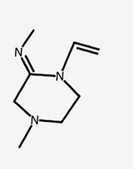 C=CN1CCN(C)C/C1=N/C